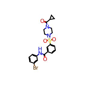 O=C(Nc1cccc(Br)c1)c1cccc(S(=O)(=O)N2CCN(C(=O)C3CC3)CC2)c1